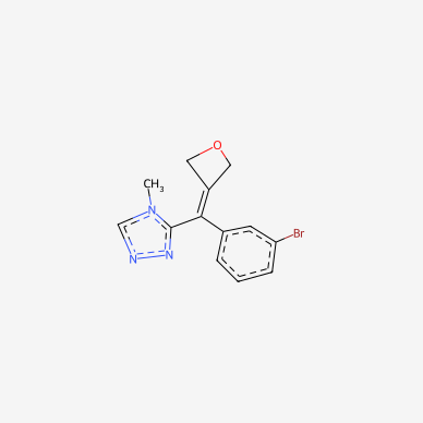 Cn1cnnc1C(=C1COC1)c1cccc(Br)c1